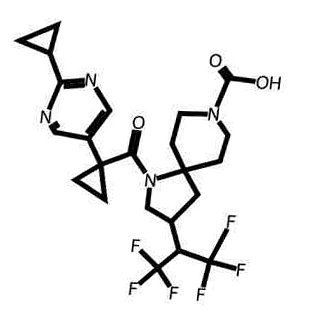 O=C(O)N1CCC2(CC1)CC(C(C(F)(F)F)C(F)(F)F)CN2C(=O)C1(c2cnc(C3CC3)nc2)CC1